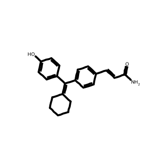 NC(=O)/C=C/c1ccc(C(=C2CCCCC2)c2ccc(O)cc2)cc1